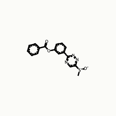 C[S+]([O-])c1cnc(-c2cccc(OC(=O)c3ccccc3)c2)nn1